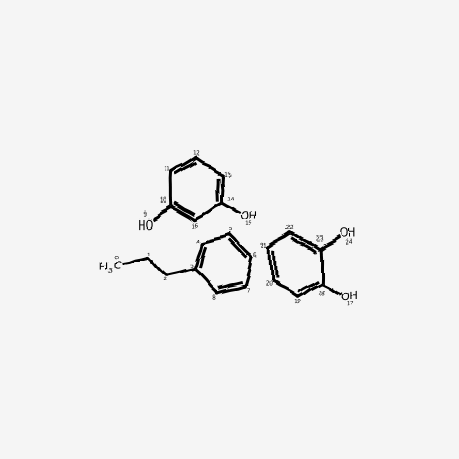 CCCc1ccccc1.Oc1cccc(O)c1.Oc1ccccc1O